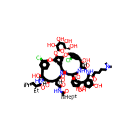 CCCCCCCC(=O)NC(=O)C[C@@H]1CC(=O)[C@H](NC(=O)[C@H](CC)CC(C)C)[C@H](O)c2ccc(c(Cl)c2)Oc2cc3cc(c2O[C@@H]2O[C@H](CO)[C@@H](O)[C@H](O)[C@H]2O)Oc2ccc(cc2Cl)[C@@H](O)[C@@H]2NC(=O)[C@H](CC(=O)[C@@H]3NC1=O)c1ccc(O)c(c1)-c1c(O)cc(O)cc1[C@@H](C(=O)CCCCN(C)C)NC2=O